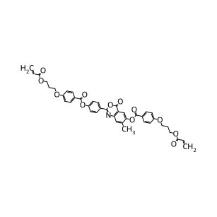 C=CC(=O)OCCCOc1ccc(C(=O)Oc2ccc(-c3nc4cc(C)c(OC(=O)c5ccc(OCCCOC(=O)C=C)cc5)cc4c(=O)o3)cc2)cc1